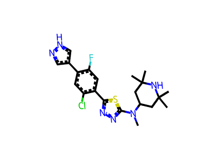 CN(c1nnc(-c2cc(F)c(-c3cn[nH]c3)cc2Cl)s1)C1CC(C)(C)NC(C)(C)C1